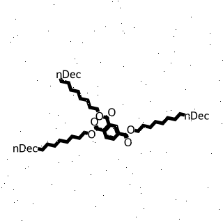 CCCCCCCCCCCCCCCCCCOC(=O)c1ccc(C(=O)OCCCCCCCCCCCCCCCCCC)c(C(=O)OCCCCCCCCCCCCCCCCCC)c1